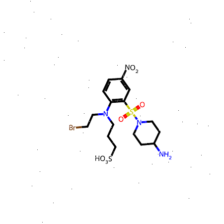 NC1CCN(S(=O)(=O)c2cc([N+](=O)[O-])ccc2N(CCBr)CCCS(=O)(=O)O)CC1